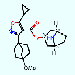 COC12CCC(c3noc(C4CC4)c3C(=O)O[C@H]3C[C@H]4CC[C@@H](C3)N4)(CC1)CC2